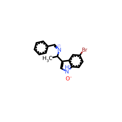 CC(/N=C\c1ccccc1)C1=C[NH+]([O-])c2ccc(Br)cc21